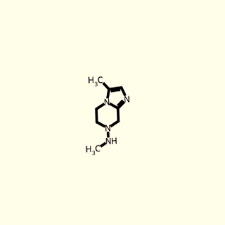 CNN1CCn2c(C)cnc2C1